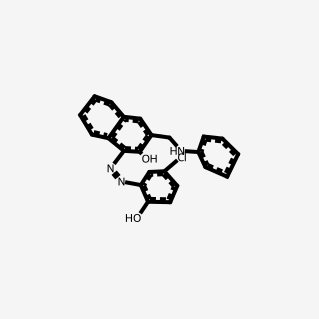 Oc1ccc(Cl)cc1/N=N\c1c(O)c(CNc2ccccc2)cc2ccccc12